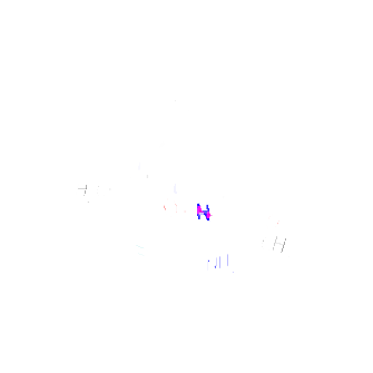 C=C/C=C(C#CC1CC1)\C=C1/CCC2(CCC(OC)CC2)C12N=C(N)N(CCF)C2=O